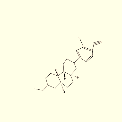 CC[C@@H]1CC[C@H]2[C@@H](CC[C@@H]3CC(c4ccc(C#N)c(F)c4)CC[C@H]32)C1